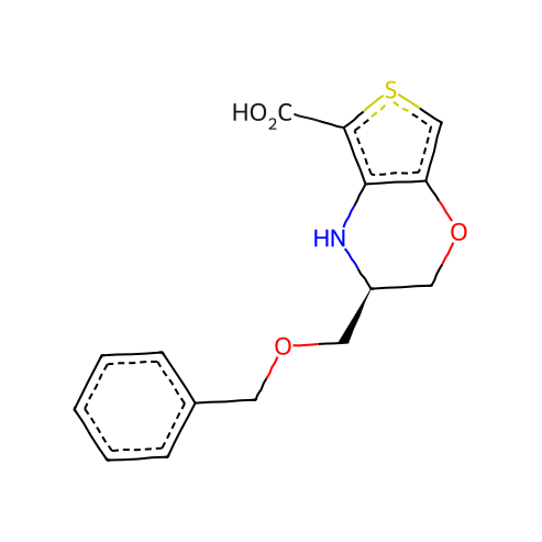 O=C(O)c1scc2c1N[C@H](COCc1ccccc1)CO2